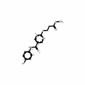 COC(=O)CCSc1ncc(C(=O)Nc2ccc(F)cc2)cn1